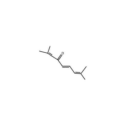 CC(C)=CC=CC(=O)C=C(C)C